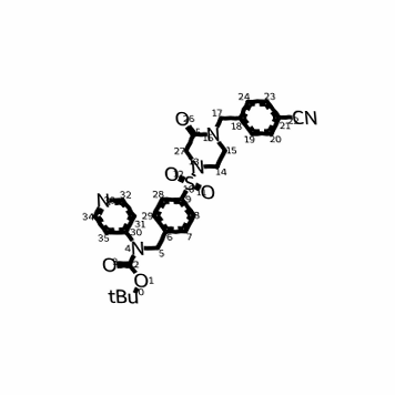 CC(C)(C)OC(=O)N(Cc1ccc(S(=O)(=O)N2CCN(Cc3ccc(C#N)cc3)C(=O)C2)cc1)c1ccncc1